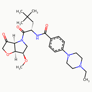 CCN1CCN(c2ccc(C(=O)N[C@@H](CC(C)(C)C)C(=O)N3C[C@@H](OC)[C@H]4OCC(=O)[C@H]43)cc2)CC1